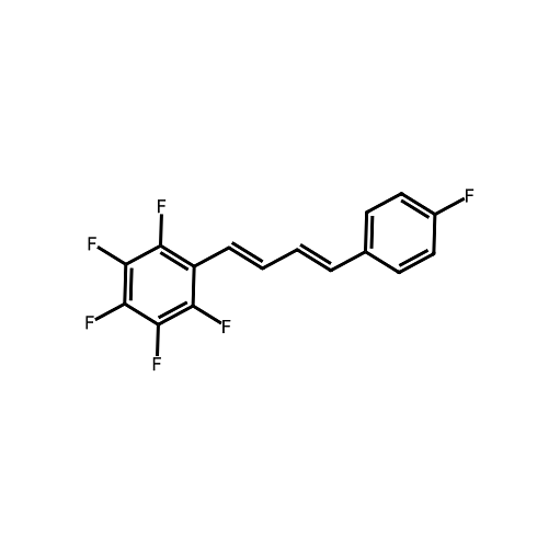 Fc1ccc(C=CC=Cc2c(F)c(F)c(F)c(F)c2F)cc1